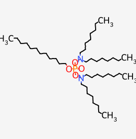 CCCCCCCCCCCCOP(=O)(ON(CCCCCCCC)CCCCCCCC)ON(CCCCCCCC)CCCCCCCC